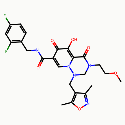 COCCN1CN(Cc2c(C)noc2C)n2cc(C(=O)NCc3ccc(F)cc3F)c(=O)c(O)c2C1=O